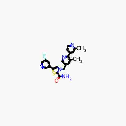 Cc1cc(-c2ncc(CN3C=C(c4cncc(F)c4)SC3C(N)=O)cc2C)ccn1